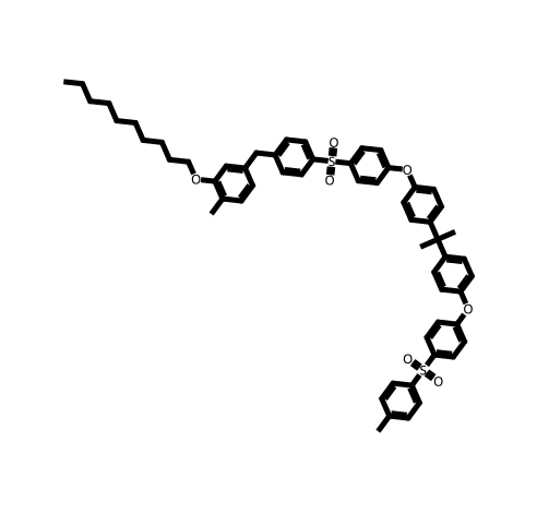 CCCCCCCCCCOc1cc(Cc2ccc(S(=O)(=O)c3ccc(Oc4ccc(C(C)(C)c5ccc(Oc6ccc(S(=O)(=O)c7ccc(C)cc7)cc6)cc5)cc4)cc3)cc2)ccc1C